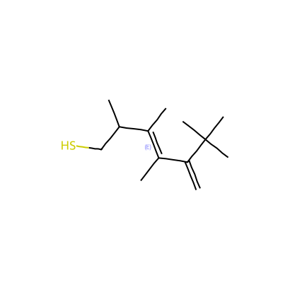 C=C(/C(C)=C(\C)C(C)CS)C(C)(C)C